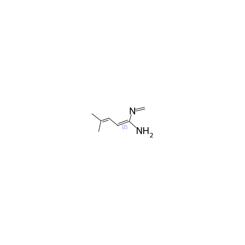 C=N/C(N)=C\C=C(C)C